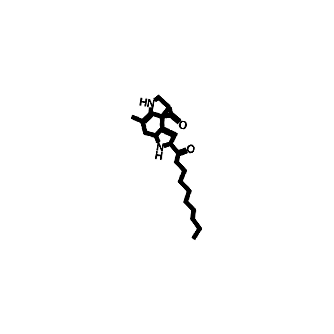 CCCCCCCCCC(=O)C1C=C2C(CC(C)=C3NCC4C(=O)C234)N1